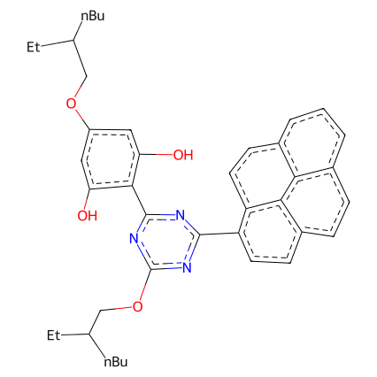 CCCCC(CC)COc1cc(O)c(-c2nc(OCC(CC)CCCC)nc(-c3ccc4ccc5cccc6ccc3c4c56)n2)c(O)c1